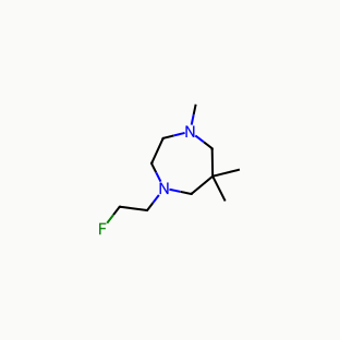 CN1CCN(CCF)CC(C)(C)C1